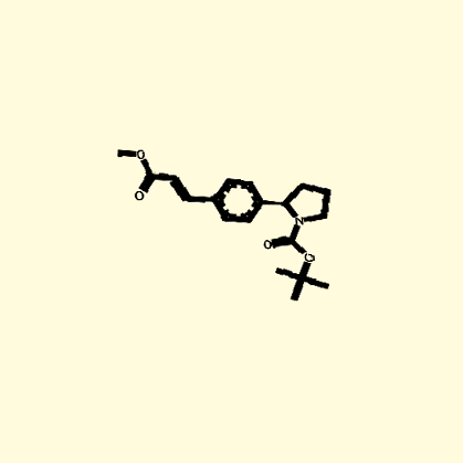 COC(=O)C=Cc1ccc([C@H]2CCCN2C(=O)OC(C)(C)C)cc1